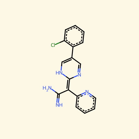 N=C(N)/C(=C1/N=CC(c2ccccc2Cl)=CN1)c1ccccn1